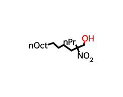 CCCCCCCCCCCCC(CO)(CCC)[N+](=O)[O-]